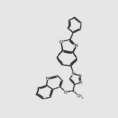 CC(Oc1ccnc2ccccc12)c1cn(-c2ccc3oc(-c4ccccc4)nc3c2)nn1